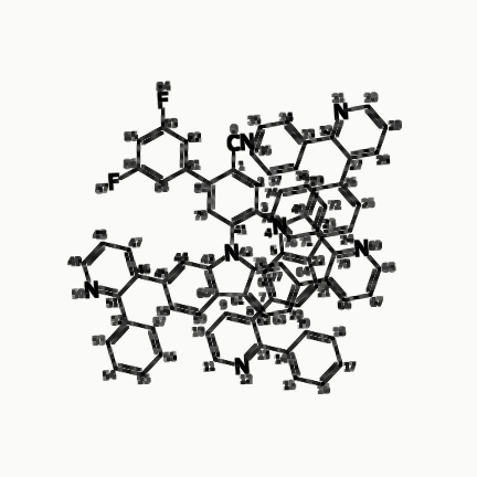 N#Cc1cc(-n2c3cc(-c4cccnc4-c4ccccc4)ccc3c3ccc(-c4cccnc4-c4ccccc4)cc32)c(-n2c3cc(-c4cccnc4-c4ccccc4)ccc3c3ccc(-c4cccnc4-c4ccccc4)cc32)cc1-c1cc(F)cc(F)c1